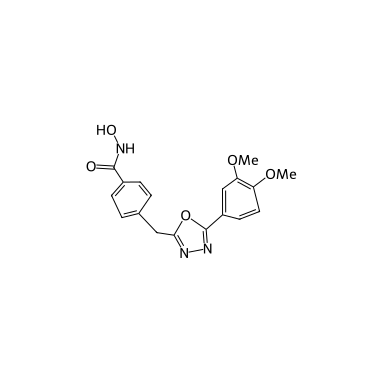 COc1ccc(-c2nnc(Cc3ccc(C(=O)NO)cc3)o2)cc1OC